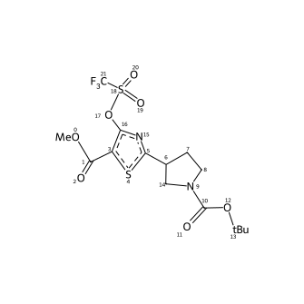 COC(=O)c1sc(C2CCN(C(=O)OC(C)(C)C)C2)nc1OS(=O)(=O)C(F)(F)F